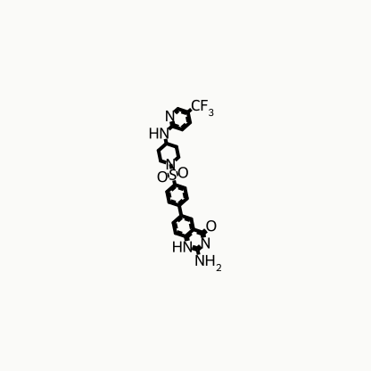 Nc1nc(=O)c2cc(-c3ccc(S(=O)(=O)N4CCC(Nc5ccc(C(F)(F)F)cn5)CC4)cc3)ccc2[nH]1